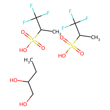 CC(C(F)(F)F)S(=O)(=O)O.CC(C(F)(F)F)S(=O)(=O)O.CCC(O)CO